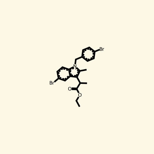 CCOC(=O)C(C)c1c(C)n(Cc2ccc(Br)cc2)c2ccc(Br)cc12